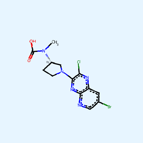 CN(C(=O)O)[C@H]1CCN(c2nc3ncc(Br)cc3nc2Cl)C1